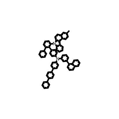 Cc1ccc2c(ccc3c2c2ccccc2n3-c2cccc(-c3ccccc3)c2-c2ccc(N(c3ccc(-c4ccc(-c5ccccc5)cc4)cc3)c3cccc(-c4cccc5ccccc45)c3)cc2)c1